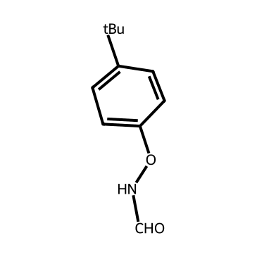 CC(C)(C)c1ccc(ONC=O)cc1